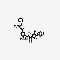 C=N/C=C(\C=C(/C)c1ccc2[nH]nc(C(=O)Nc3cnc(N4CCOCC4)c(F)c3)c2c1)CN1CCCCC1